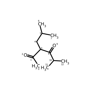 CC(=O)C(CC(C)C)C(=O)C(C)C